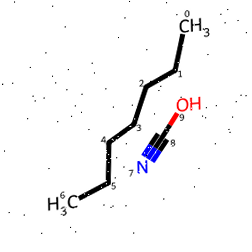 CCCCCCC.N#CO